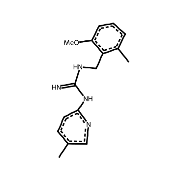 COc1cccc(C)c1CNC(=N)Nc1ccc(C)cn1